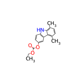 CCOC(=O)Oc1ccc2[nH]c3c(C)ccc(C)c3c2c1